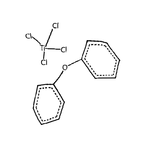 [Cl][Ti]([Cl])([Cl])[Cl].c1ccc(Oc2ccccc2)cc1